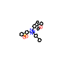 O=S1(=O)c2ccccc2-c2ccc(-c3nc(-c4ccc(-c5ccccc5)cc4)nc(-c4ccc5c(c4)C4(c6ccccc6Oc6ccccc64)c4ccccc4-5)n3)cc21